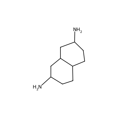 NC1CCC2CCC(N)CC2C1